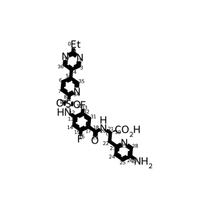 CCc1ncc(-c2ccc(S(=O)(=O)Nc3cc(F)c(C(=O)N[C@@H](Cc4ccc(N)cn4)C(=O)O)cc3F)nc2)cn1